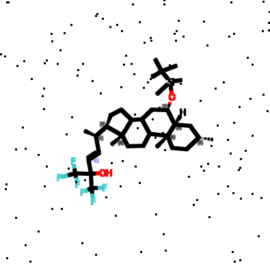 C[C@@H]1CC[C@]2(C)C3CC[C@@]4(C)C(CC[C@@H]4[C@H](C)/C=C/C(O)(C(F)(F)F)C(F)(F)F)C3C[C@H](O[Si](C)(C)C(C)(C)C)[C@@H]2C1